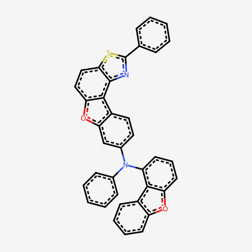 c1ccc(-c2nc3c(ccc4oc5cc(N(c6ccccc6)c6cccc7oc8ccccc8c67)ccc5c43)s2)cc1